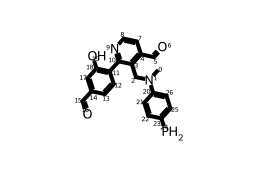 CN(Cc1c(C=O)ccnc1-c1ccc(C=O)cc1O)c1ccc(P)cc1